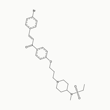 CCS(=O)(=O)N(C)C1CCN(CCCOc2ccc(C(=O)C=Cc3ccc(Br)cc3)cc2)CC1